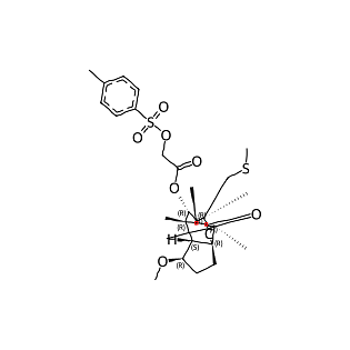 CO[C@@H]1CC[C@@]23CC[C@@H](C)[C@@](C)([C@H](OC(=O)COS(=O)(=O)c4ccc(C)cc4)C[C@@](C)(CSC)C(=O)[C@@H]2C)[C@@H]13